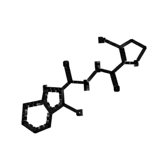 O=C(NNC(=O)c1sc2ccccc2c1Cl)C1=C(Br)CCS1